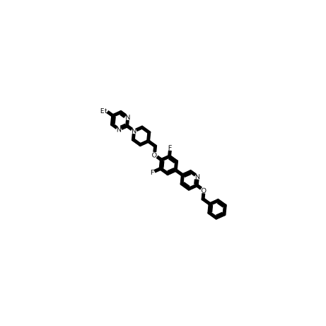 CCc1cnc(N2CCC(COc3c(F)cc(-c4ccc(OCc5ccccc5)nc4)cc3F)CC2)nc1